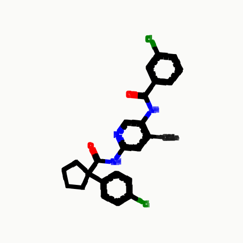 COc1cc(NC(=O)C2(c3ccc(Cl)cc3)CCCC2)ncc1NC(=O)c1cccc(Cl)c1